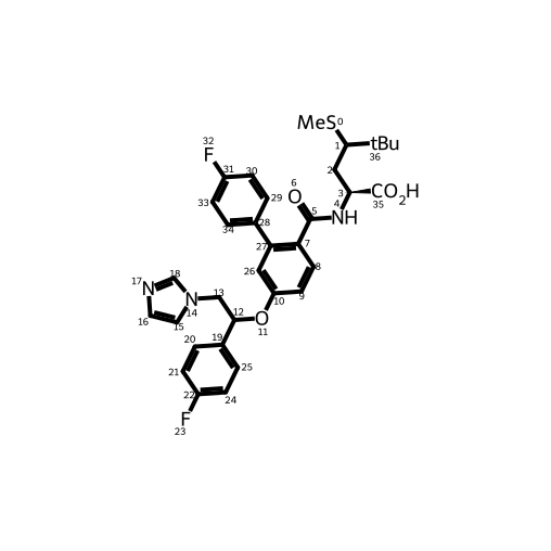 CSC(C[C@H](NC(=O)c1ccc(OC(Cn2ccnc2)c2ccc(F)cc2)cc1-c1ccc(F)cc1)C(=O)O)C(C)(C)C